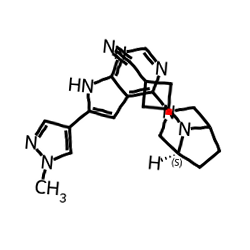 Cn1cc(-c2cc3c(N4CC5CC[C@@H](C4)N5C4CC(C#N)C4)ncnc3[nH]2)cn1